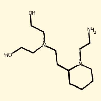 NCCN1CCCCC1CCN(CCO)CCO